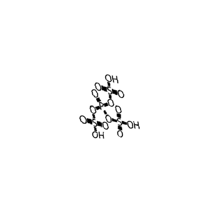 O=P(OS(=O)(=O)O)(OS(=O)(=O)O)OS(=O)(=O)O